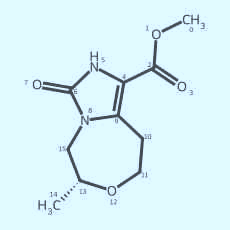 COC(=O)c1[nH]c(=O)n2c1CCO[C@H](C)C2